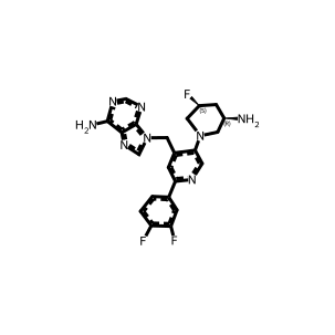 Nc1ncnc2c1ncn2Cc1cc(-c2ccc(F)c(F)c2)ncc1N1C[C@H](N)C[C@H](F)C1